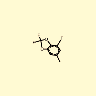 Cc1cc(F)c2c(c1)OC(F)(F)O2